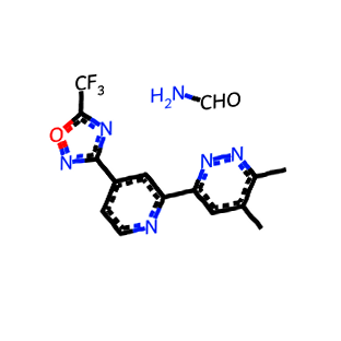 Cc1cc(-c2cc(-c3noc(C(F)(F)F)n3)ccn2)nnc1C.NC=O